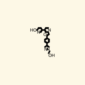 OCCn1cc(-c2ccc(-c3cc4nccc(-c5ccc(O)nc5)c4o3)cc2)cn1